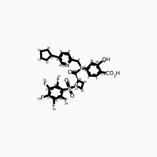 O=C(O)c1ccc(N(Cc2ccc(C3CCCC3)cn2)C(=O)[C@H]2CCN2S(=O)(=O)c2c(F)c(F)c(F)c(F)c2F)cc1O